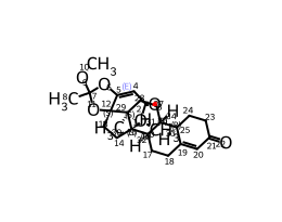 COC(=O)/C=C1/OC(C)(OC)O[C@]12CC[C@H]1[C@@H]3CCC4=CC(=O)CC[C@@H]4[C@H]3CC[C@@]12C